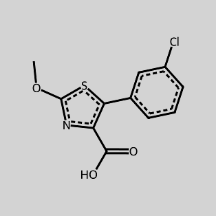 COc1nc(C(=O)O)c(-c2cccc(Cl)c2)s1